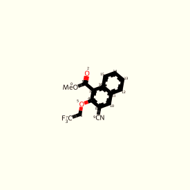 COC(=O)c1c(OCC(F)(F)F)c(C#N)cc2ccccc12